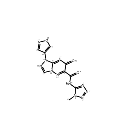 Cn1nnnc1NC(=O)c1nn2cnn(-c3cnoc3)c2nc1=O